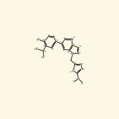 CN(C)c1nnc(Cn2ncc3ncc(-c4ccc(F)c(C(F)F)c4)cc32)o1